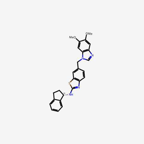 COc1cc2ncn(Cc3ccc4nc(N[C@H]5CCc6ccccc65)sc4c3)c2cc1OC